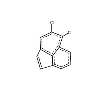 Clc1cc2c3c(cccc3c1Cl)C=C2